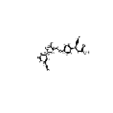 CC#CC(CC(=O)O)c1ccc(OCc2nc(-c3cccc(C#N)c3)oc2C)cc1